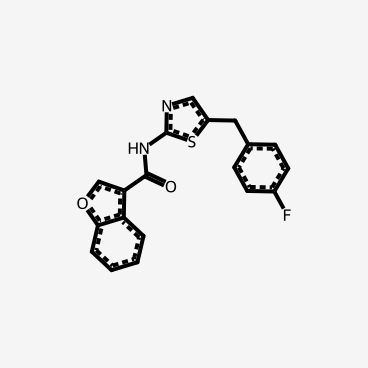 O=C(Nc1ncc(Cc2ccc(F)cc2)s1)c1coc2ccccc12